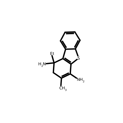 CCC1(N)CC(C)=C(N)c2sc3ccccc3c21